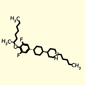 CCCCCC[C@H](C)Oc1c(F)cc([C@H]2CC[C@H](C3CC[SiH](CCCCC)CC3)CC2)cc1F